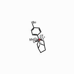 COC1(C(F)(F)F)CC2CCC(C1)N2S(=O)(=O)c1ccc(C(C)(C)C)cc1